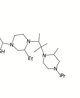 CCC1CN(C(C)S)CCN1C(C)C(C)(C)N1CCN(C(C)C)CC1C